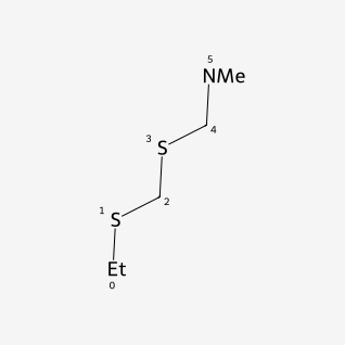 CCSCSCNC